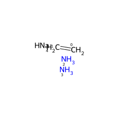 C=C.N.N.[NaH]